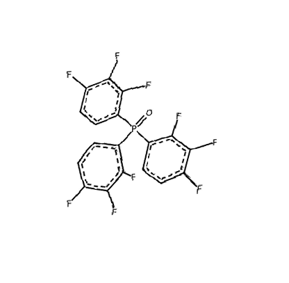 O=P(c1ccc(F)c(F)c1F)(c1ccc(F)c(F)c1F)c1ccc(F)c(F)c1F